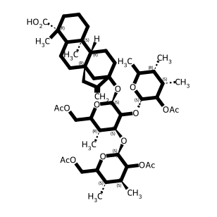 C=C1C[C@@]23CCC4[C@](C)(C(=O)O)CCC[C@@]4(C)[C@@H]2CCC1(O[C@@H]1OC(COC(C)=O)[C@@H](C)[C@H](O[C@@H]2OC(COC(C)=O)[C@@H](C)[C@H](C)C2OC(C)=O)C1O[C@@H]1OC(C)[C@H](C)[C@H](C)C1OC(C)=O)C3